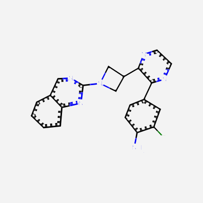 Nc1ccc(-c2nccnc2C2CN(c3ncc4ccccc4n3)C2)cc1F